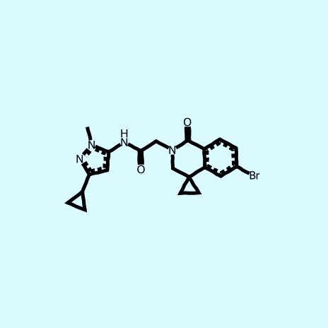 Cn1nc(C2CC2)cc1NC(=O)CN1CC2(CC2)c2cc(Br)ccc2C1=O